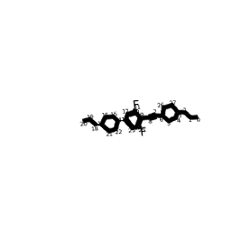 CCCC1CCC(C#Cc2c(F)cc([C@H]3CC[C@H](CCC)CC3)cc2F)CC1